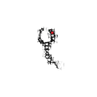 C=C1C[C@@H]2CC[C@@]34C[C@H]5O[C@H]6[C@@H](O[C@H]7CC[C@H](CC(=O)O[C@@H]8[C@@H](C)[C@@H]9O[C@@H]%10C[C@]%11(C[C@@H]%12O[C@]%13(C[C@H](C)[C@@H]%14O[C@H]([C@@H](O)C[C@@H](O)CO)C[C@@H]%14O%13)C[C@H](C)[C@@H]%12O%11)O[C@@H]%10C[C@@H]9O[C@H]8C[C@H]8O[C@@H](CC[C@@H]1O2)C[C@@H](C)C8=C)C[C@@H]7[C@@H]6O3)[C@H]5O4